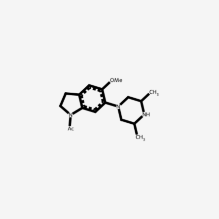 COc1cc2c(cc1N1CC(C)NC(C)C1)N(C(C)=O)CC2